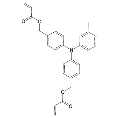 C=CC(=O)OCc1ccc(N(c2ccc(COC(=O)C=C)cc2)c2cccc(C)c2)cc1